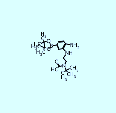 CC(C)(C)N(CCNc1cc(B2OC(C)(C)C(C)(C)O2)ccc1N)C(=O)O